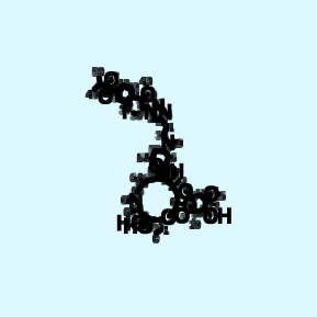 CC[C@H]1OC(=O)[C@H](C)[C@@H](O[C@H]2C[C@@](C)(OC)[C@@H](O)[C@H](C)O2)[C@H](C)[C@@H](O[C@H]2C[C@@H](N(C)CCc3cn([C@H](CF)[C@H](OC)c4ccc(S(=O)(=O)C(C)C)cc4)nn3)C[C@@H](C)O2)[C@](C)(O)C[C@@H](C)CN(C)[C@H](C)[C@@H](O)[C@]1(C)O